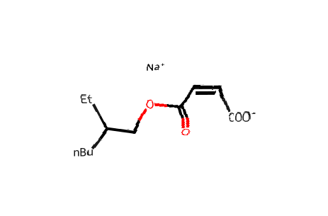 CCCCC(CC)COC(=O)/C=C\C(=O)[O-].[Na+]